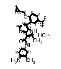 Cc1[nH]c2c(-c3cc(C(F)F)ccc3OCC3CC3)ncnc2c1C(=O)N[C@H]1CC[C@H](N)[C@@H](C)C1.Cl